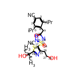 CC(C)c1cc(C#N)cc(C(C)C)c1CC(=O)N=S(=O)(NC#N)c1sc(C(C)(C)O)nc1CCO